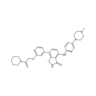 CN1CCN(c2ccc(Nc3ccc(-c4ccnc(OCC(=O)N5CCCCC5)c4)c4c3C(=O)NC4)nc2)CC1